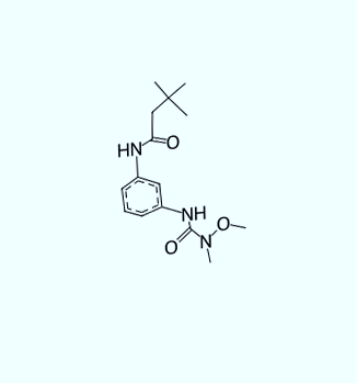 CON(C)C(=O)Nc1cccc(NC(=O)CC(C)(C)C)c1